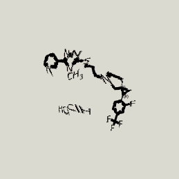 Cl.Cl.Cn1c(SCCCN2CC[C@@]3(C[C@H]3c3ccc(C(F)(F)F)cc3F)C2)nnc1-c1cccnc1